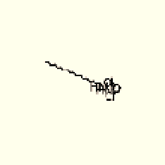 CCCCCCCCC=CCCCCCCCCNC(=O)Nc1c(Cl)cccc1Cl